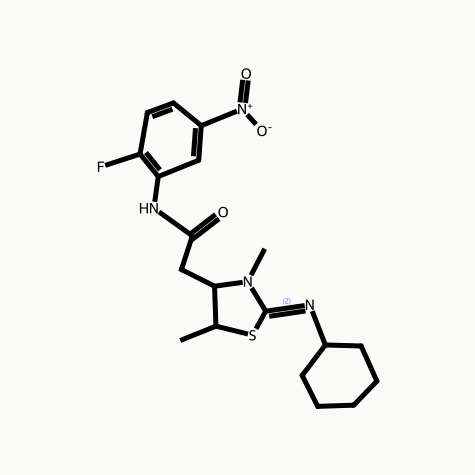 CC1S/C(=N\C2CCCCC2)N(C)C1CC(=O)Nc1cc([N+](=O)[O-])ccc1F